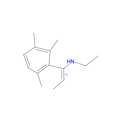 C/C=C(/NCC)c1c(C)ccc(C)c1C